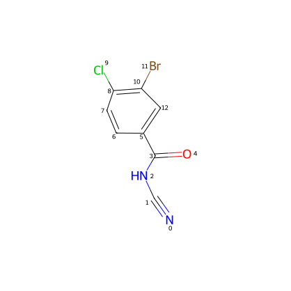 N#CNC(=O)c1ccc(Cl)c(Br)c1